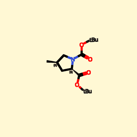 C[C@@H]1C[C@@H](C(=O)OC(C)(C)C)N(C(=O)OC(C)(C)C)C1